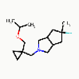 CC(C)OCC1(CN2CC3CC(C)(F)CC3C2)CC1